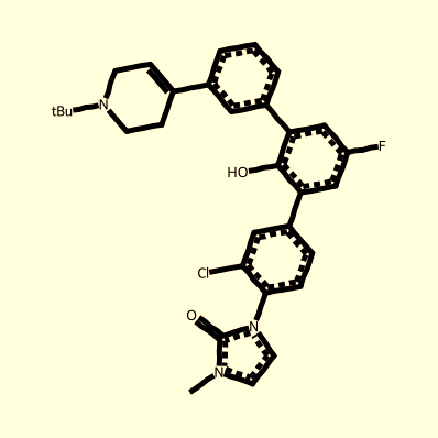 Cn1ccn(-c2ccc(-c3cc(F)cc(-c4cccc(C5=CCN(C(C)(C)C)CC5)c4)c3O)cc2Cl)c1=O